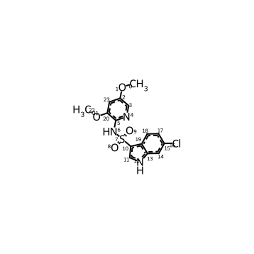 COc1cnc(NS(=O)(=O)c2c[nH]c3cc(Cl)ccc23)c(OC)c1